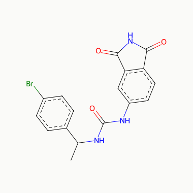 CC(NC(=O)Nc1ccc2c(c1)C(=O)NC2=O)c1ccc(Br)cc1